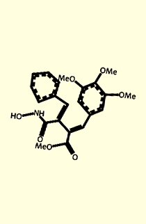 COC(=O)C(=Cc1cc(OC)c(OC)c(OC)c1)C(=Cc1ccccc1)C(=O)NO